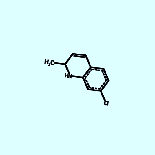 CC1C=Cc2ccc(Cl)cc2N1